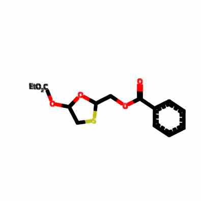 CCOC(=O)OC1CSC(COC(=O)c2ccccc2)O1